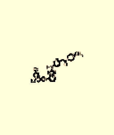 CCc1cnn(C2(CC#N)CN(c3cccn4nc(Nc5ccc(CC(=O)N6CCN(C)CC6)nc5)nc34)C2)c1